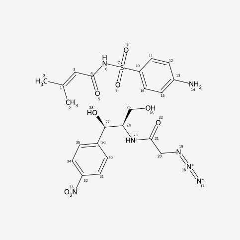 CC(C)=CC(=O)NS(=O)(=O)c1ccc(N)cc1.[N-]=[N+]=NCC(=O)N[C@H](CO)[C@H](O)c1ccc([N+](=O)[O-])cc1